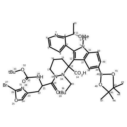 CCn1c(-c2cccnc2[C@H](C)OC)c(C2(C(=O)O)CCCN(C(=O)C(Cc3coc(Br)n3)NC(=O)OC(C)(C)C)N2CC(C)(C)C)c2cc(B3OC(C)(C)C(C)(C)O3)ccc21